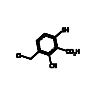 N#Cc1c(CCl)ccc(S)c1C(=O)O